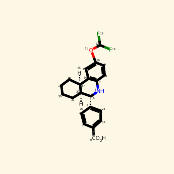 O=C(O)c1ccc([C@H]2Nc3ccc(OC(F)F)cc3[C@@H]3CCCC[C@H]23)cc1